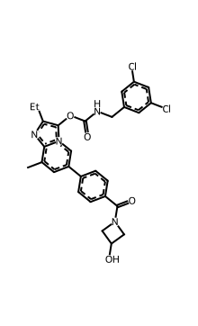 CCc1nc2c(C)cc(-c3ccc(C(=O)N4CC(O)C4)cc3)cn2c1OC(=O)NCc1cc(Cl)cc(Cl)c1